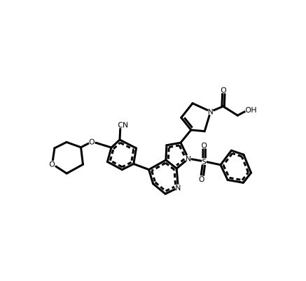 N#Cc1cc(-c2ccnc3c2cc(C2=CCN(C(=O)CO)C2)n3S(=O)(=O)c2ccccc2)ccc1OC1CCOCC1